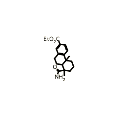 CCOC(=O)c1ccc2c(c1)CCC1C(C)(C(N)=O)CCCC21C